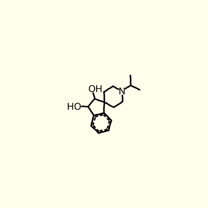 CC(C)N1CCC2(CC1)c1ccccc1C(O)C2O